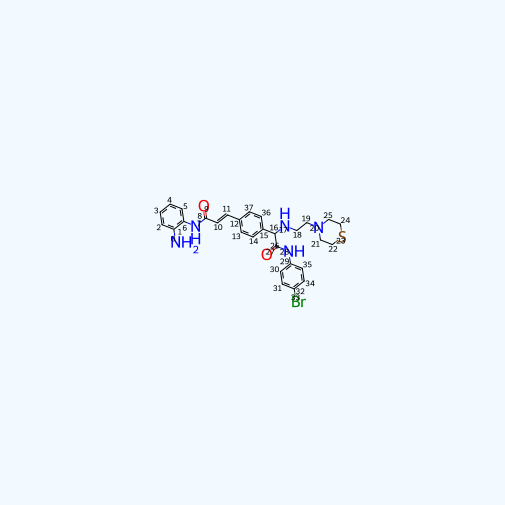 Nc1ccccc1NC(=O)/C=C/c1ccc(C(NCCN2CCSCC2)C(=O)Nc2ccc(Br)cc2)cc1